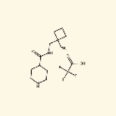 CC1(CNC(=O)C2CCNCC2)CCC1.O=C(O)C(F)(F)F